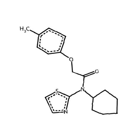 Cc1ccc(OCC(=O)N(c2nccs2)C2CCCCC2)cc1